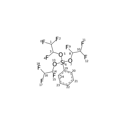 FC(F)C(F)O[Si](OC(F)C(F)F)(OC(F)C(F)F)c1ccccc1